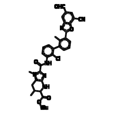 Cc1c(-c2nc3cc(C=O)cc(C#N)c3o2)cccc1-c1cccc(NC(=O)c2nc3c(n2C)CC(C)C(C(=O)OC(C)(C)C)N3)c1Cl